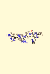 CCN(C)Cc1cc(C(=O)N2CCC(N3CC(CN)(n4cc(-c5ncnc6[nH]ccc56)cn4)C3)CC2)nc(C(F)(F)F)n1